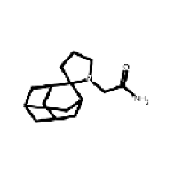 NC(=O)CN1CCCC12C1CC3CC(C1)CC2C3